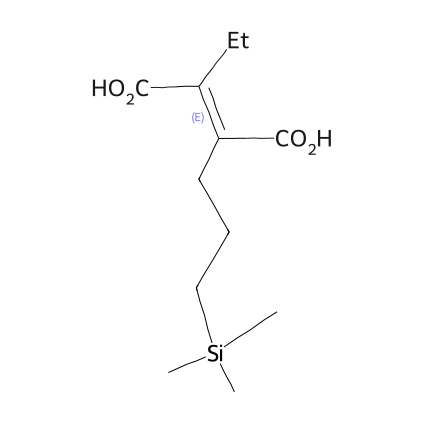 CC/C(C(=O)O)=C(/CCC[Si](C)(C)C)C(=O)O